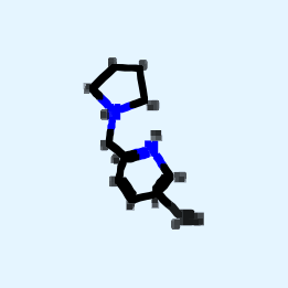 CCC(C)c1ccc(CN2CCCC2)nc1